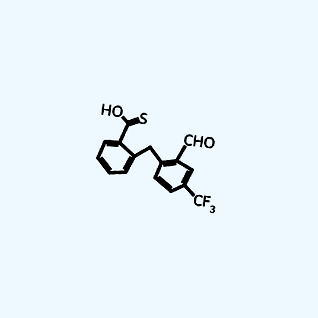 O=Cc1cc(C(F)(F)F)ccc1Cc1ccccc1C(O)=S